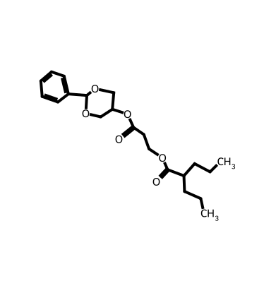 CCCC(CCC)C(=O)OCCC(=O)OC1COC(c2ccccc2)OC1